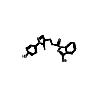 Cc1c(CCC(=O)n2nc(O)c3ccccc32)cnn1-c1ccc(O)cc1